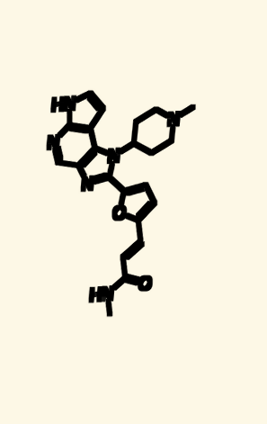 CNC(=O)C=Cc1ccc(-c2nc3cnc4[nH]ccc4c3n2C2CCN(C)CC2)o1